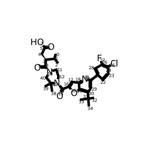 CC(C)[C@H](CC(=O)O)C(=O)N1CCN(C(=O)c2cc3nc(-c4ccc(Cl)c(F)c4)cc(C(C)(C)C)c3o2)C(C)(C)C1